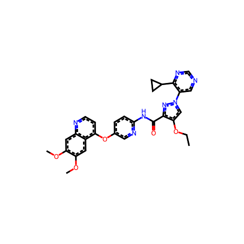 CCOc1cn(-c2cncnc2C2CC2)nc1C(=O)Nc1ccc(Oc2ccnc3cc(OC)c(OC)cc23)cn1